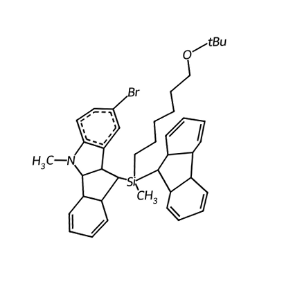 CN1c2ccc(Br)cc2C2C1C1C=CC=CC1C2[Si](C)(CCCCCCOC(C)(C)C)C1C2C=CC=CC2C2C=CC=CC21